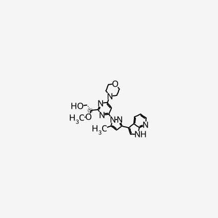 CO[C@H](CO)c1nc(N2CCOCC2)cc(-n2nc(-c3c[nH]c4ncccc34)cc2C)n1